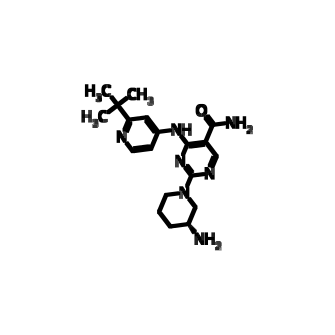 CC(C)(C)c1cc(Nc2nc(N3CCC[C@H](N)C3)ncc2C(N)=O)ccn1